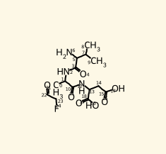 CC(NC(=O)C(N)C(C)C)C(=O)NC(CC(=O)O)C(=O)O.O=CCF